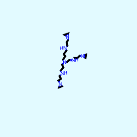 C(CCN(CCCNCCCN1CC1)CCNCCCN1CC1)CNCCCN1CC1